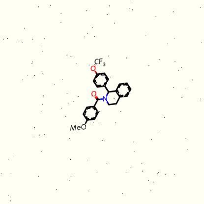 COc1ccc(C(=O)N2CCc3ccccc3C2c2ccc(OC(F)(F)F)cc2)cc1